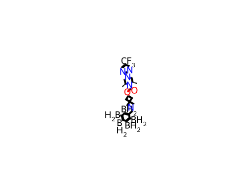 Bc1c(B)c(B)c(CN2CC3(CC(OC(=O)N4[C@H](C)CN(c5ncc(C(F)(F)F)cn5)C[C@@H]4C)C3)C2)c(B)c1B